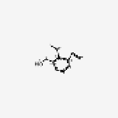 C=Cc1cccc(CO)c1CC